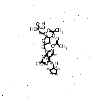 CC(=O)O[C@@H]1[C@H](OC(C)=O)C(OCP(=O)(O)O)O[C@@H]1Cn1ncc2c(NC3CCCC3)nc(Cl)nc21